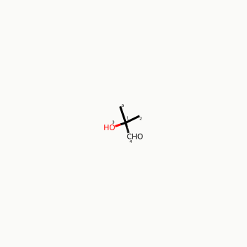 CC(C)(O)C=O